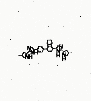 C[C@@H]1CNC(c2ncc(-c3ccc(-c4ccc(-c5cnc([C@@H]6C[C@H](C)CN6)[nH]5)c5c4C4CCC5C4)cc3)[nH]2)C1